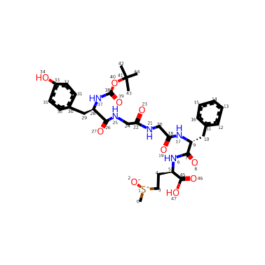 C[S+]([O-])CC[C@@H](NC(=O)[C@@H](Cc1ccccc1)NC(=O)CNC(=O)CNC(=O)[C@@H](Cc1ccc(O)cc1)NC(=O)OC(C)(C)C)C(=O)O